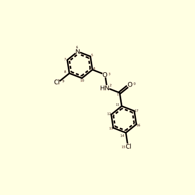 O=C(NOc1cncc(Cl)c1)c1ccc(Cl)cc1